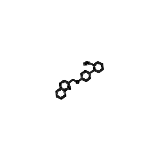 CCCc1ccccc1-c1ccc(OCc2ccc3ccccc3n2)cc1